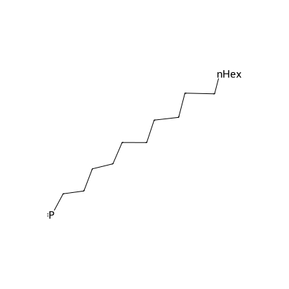 CCCCCCCCCCCCCCCC[P]